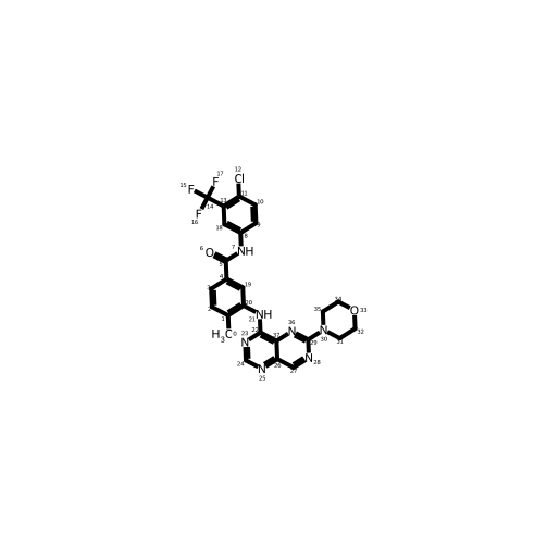 Cc1ccc(C(=O)Nc2ccc(Cl)c(C(F)(F)F)c2)cc1Nc1ncnc2cnc(N3CCOCC3)nc12